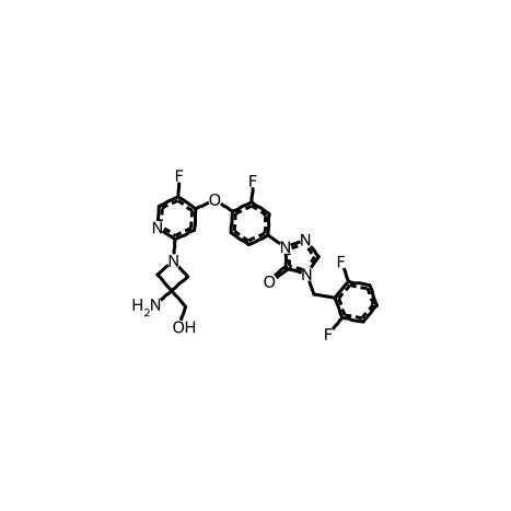 NC1(CO)CN(c2cc(Oc3ccc(-n4ncn(Cc5c(F)cccc5F)c4=O)cc3F)c(F)cn2)C1